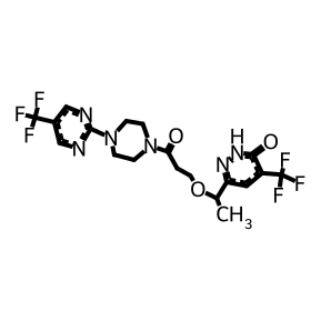 CC(OCCC(=O)N1CCN(c2ncc(C(F)(F)F)cn2)CC1)c1cc(C(F)(F)F)c(=O)[nH]n1